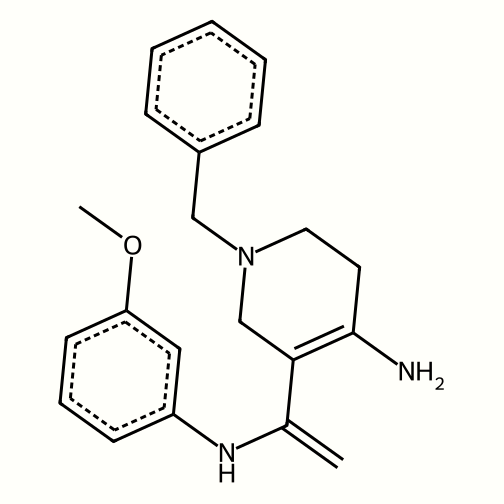 C=C(Nc1cccc(OC)c1)C1=C(N)CCN(Cc2ccccc2)C1